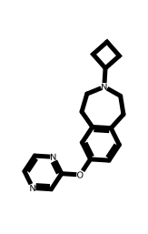 c1cnc(Oc2ccc3c(c2)CCN(C2CCC2)CC3)cn1